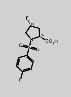 O=C(O)[C@@H]1C[C@@H](F)CN1S(=O)(=O)c1ccc(F)cc1